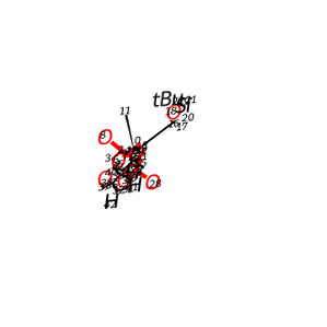 CC1CC[C@@]23COC(=O)C[C@H](C)CCO[C@@H]([C@@H](C)O[Si](C)(C)C(C)(C)C)CCCCC(=O)O[C@@H]4C[C@@H](O[C@@H]2C1)[C@@]1(CO1)[C@]43C